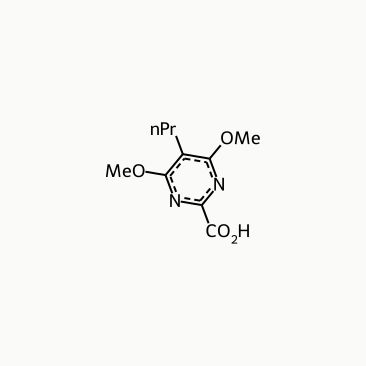 CCCc1c(OC)nc(C(=O)O)nc1OC